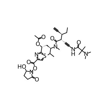 C#C[C@@H](CC)[C@H](C#CNC(=O)C(C)(C)N(C)C)C(=O)N(C)[C@H](C[C@@H](OC(C)=O)c1nc(C(=O)ON2C(=O)CCC2O)cs1)C(C)C